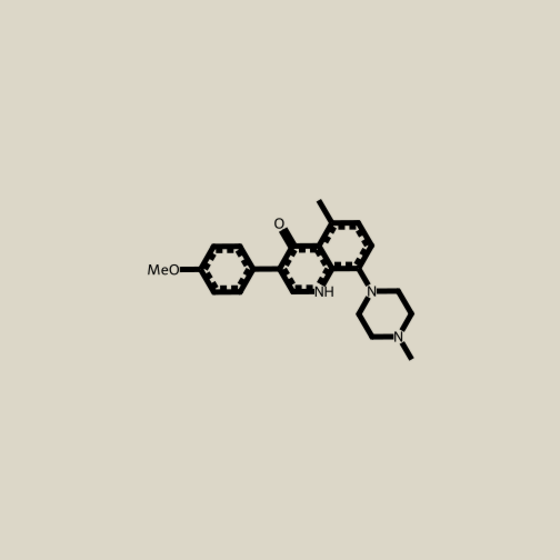 COc1ccc(-c2c[nH]c3c(N4CCN(C)CC4)ccc(C)c3c2=O)cc1